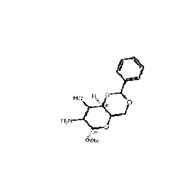 CO[C@H]1OC2COC(c3ccccc3)O[C@@H]2C(O)C1N